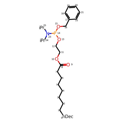 CCCCCCCCCCCCCCCCCC(=O)OCCOP(OCc1ccccc1)N(C(C)C)C(C)C